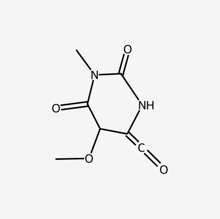 COC1C(=O)N(C)C(=O)NC1=C=O